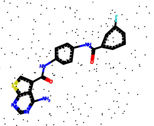 Nc1ncnc2scc(C(=O)Nc3ccc(NC(=O)c4cccc(F)c4)cc3)c12